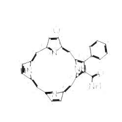 NC(=O)c1c(-c2ccccc2)c2cc3nc(cc4ccc(cc5nc(cc1[nH]2)C=C5)[nH]4)C=C3.[Cr]